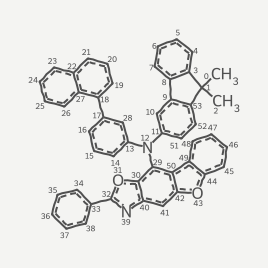 CC1(C)c2ccccc2-c2cc(N(c3cccc(-c4cccc5ccccc45)c3)c3c4oc(-c5ccccc5)nc4cc4oc5ccccc5c34)ccc21